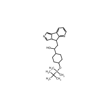 CC(C)(C)[Si](C)(C)OC1CCC(C(O)CC2c3ncccc3-c3cncn32)CC1